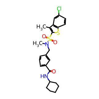 Cc1c(S(=O)(=O)N(C)Cc2cccc(C(=O)NC3CCCCC3)c2)sc2ccc(Cl)cc12